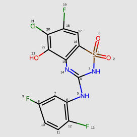 O=S1(=O)NC(Nc2cc(F)ccc2F)=Nc2c1cc(F)c(Cl)c2O